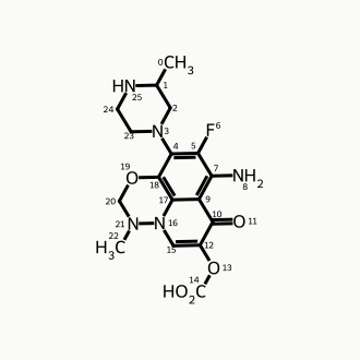 CC1CN(c2c(F)c(N)c3c(=O)c(OC(=O)O)cn4c3c2OCN4C)CCN1